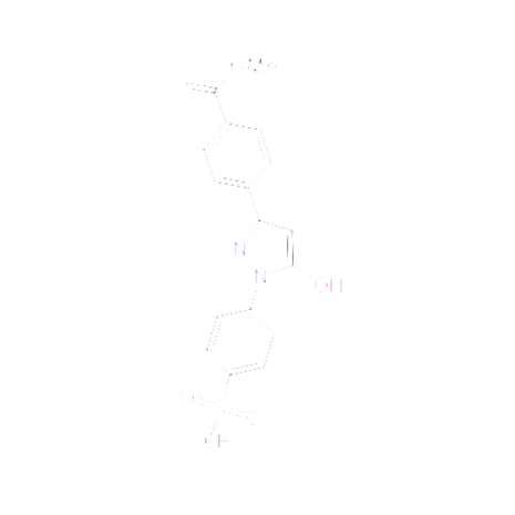 COC(=O)c1ccc(-c2cc(O)n(-c3ccc(S(C)(=O)=O)cc3)n2)cc1